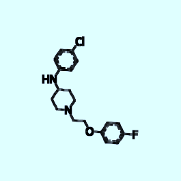 Fc1ccc(OCCN2CCC(Nc3ccc(Cl)cc3)CC2)cc1